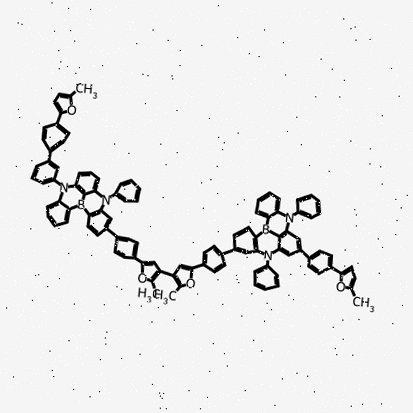 Cc1ccc(-c2ccc(-c3cccc(N4c5ccccc5B5c6ccc(-c7ccc(-c8cc(-c9cc(-c%10ccc(-c%11ccc%12c(c%11)N(c%11ccccc%11)c%11cc(-c%13ccc(-c%14ccc(C)o%14)cc%13)cc%13c%11B%12c%11ccccc%11N%13c%11ccccc%11)cc%10)oc9C)c(C)o8)cc7)cc6N(c6ccccc6)c6cccc4c65)c3)cc2)o1